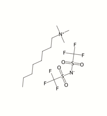 CCCCCCCC[N+](C)(C)C.O=S(=O)([N-]S(=O)(=O)C(F)(F)F)C(F)(F)F